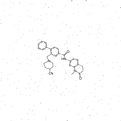 CN1C(=O)CCc2ccc(NC(=O)c3ccc(-c4ccccc4)c(CN4CCC(C#N)CC4)c3)cc21